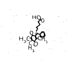 CC1=C(C)C(=O)C([C@H](CCCCCC(=O)O)c2ccccc2)=C(C)C1=O